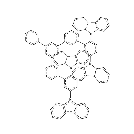 C1=CC2c3ccccc3N(c3ccc(N4c5ccccc5C5C=CC=CC54)c(-c4cccc(-c5cc(-c6ccccc6)cc(-c6cccc(-c7cc(-n8c9ccccc9c9ccccc98)ccc7N7c8ccccc8C8C=CC=CC87)c6)n5)c4)c3)C2C=C1